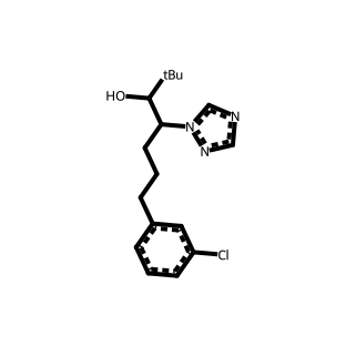 CC(C)(C)C(O)C(CCCc1cccc(Cl)c1)n1cncn1